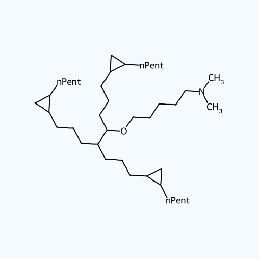 CCCCCC1CC1CCCC(CCCC1CC1CCCCC)C(CCCC1CC1CCCCC)OCCCCCN(C)C